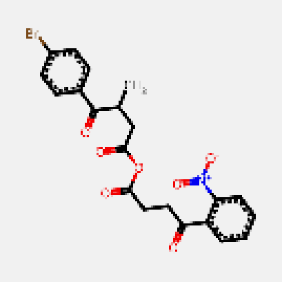 CC(CC(=O)OC(=O)CCC(=O)c1ccccc1[N+](=O)[O-])C(=O)c1ccc(Br)cc1